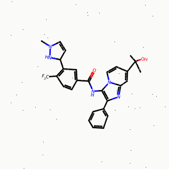 CN1C=CC(c2cc(C(=O)Nc3c(-c4ccccc4)nc4cc(C(C)(C)O)ccn34)ccc2C(F)(F)F)N1